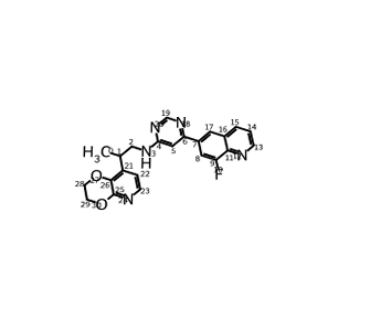 CC(CNc1cc(-c2cc(F)c3ncccc3c2)ncn1)c1ccnc2c1OCCO2